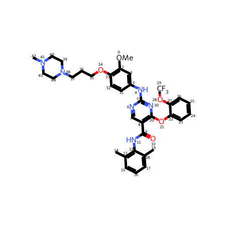 COc1cc(Nc2ncc(C(=O)Nc3c(C)cccc3C)c(Oc3ccccc3OC(F)(F)F)n2)ccc1OCCCN1CCN(C)CC1